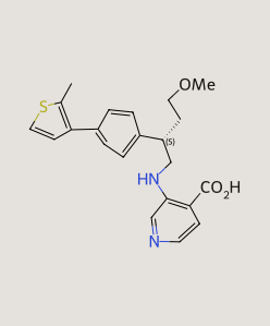 COCC[C@H](CNc1cnccc1C(=O)O)c1ccc(-c2ccsc2C)cc1